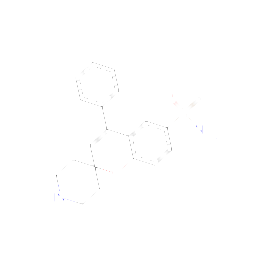 C=S(N)(=O)c1ccc2c(c1)C(c1ccccc1)=CC1(CCNCC1)O2